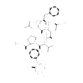 CON(C(N)=O)c1ccc([C@]2(C(=O)O)CCCN2C(=O)[C@@H](NC(=O)[C@H](CC(=O)O)NC(=O)[C@H](CC(C)C)NC(=O)Cc2ccccc2)C(C)C)cc1